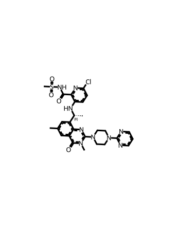 Cc1cc([C@@H](C)Nc2ccc(Cl)nc2C(=O)NS(C)(=O)=O)c2nc(N3CCN(c4ncccn4)CC3)n(C)c(=O)c2c1